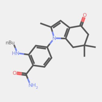 CCCCNc1cc(-n2c(C)cc3c2CC(C)(C)CC3=O)ccc1C(N)=O